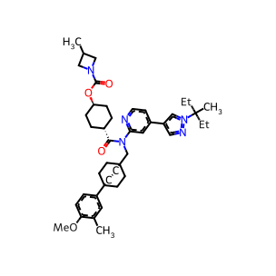 CCC(C)(CC)n1cc(-c2ccnc(N(CC34CCC(c5ccc(OC)c(C)c5)(CC3)CC4)C(=O)[C@H]3CC[C@H](OC(=O)N4CC(C)C4)CC3)c2)cn1